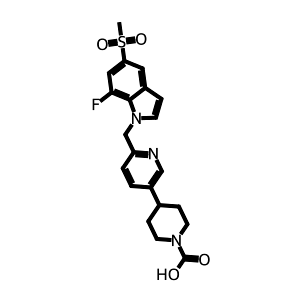 CS(=O)(=O)c1cc(F)c2c(ccn2Cc2ccc(C3CCN(C(=O)O)CC3)cn2)c1